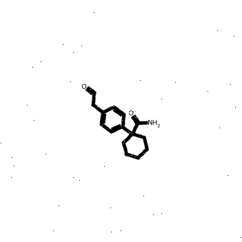 NC(=O)C1(c2ccc(CC=O)cc2)CCCCC1